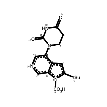 CC(C)(C)c1cc2c(N3CCC(=O)NC3=O)cncc2n1C(=O)O